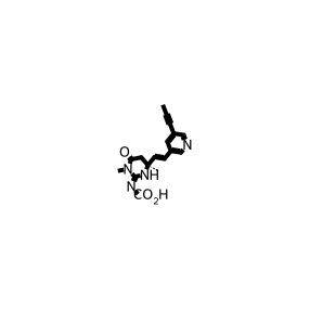 CC#Cc1cncc(C=C[C@]2(C)CC(=O)N(C)C(=NC(=O)O)N2)c1